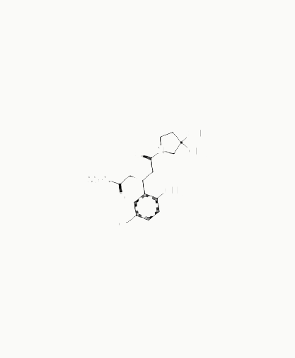 CNC(=O)C[C@@H](CC(=O)N1CCC(C)(C)C1)c1cc(Cl)ccc1C